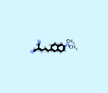 CN(C)c1ccc2cc(/C=C/C=C(C#N)C#N)ccc2c1